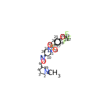 CN1CCCC(CON=C2CCN(S(=O)(=O)c3ccc(OC(F)(F)F)cc3)CC2)C1